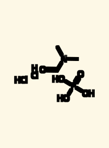 CN(C)C=O.Cl.Cl.O=P(O)(O)O